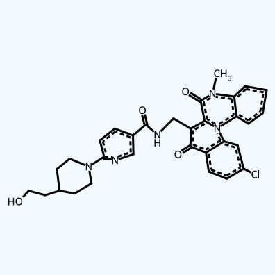 Cn1c(=O)c2c(CNC(=O)c3ccc(N4CCC(CCO)CC4)nc3)c(=O)c3ccc(Cl)cc3n2c2ccccc21